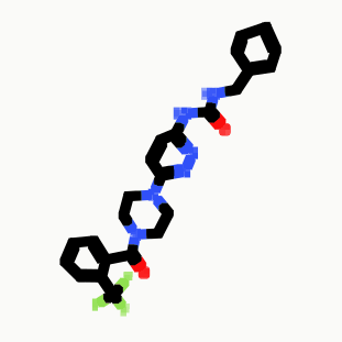 O=C(NCc1ccccc1)Nc1ccc(N2CCN(C(=O)c3ccccc3C(F)(F)F)CC2)nn1